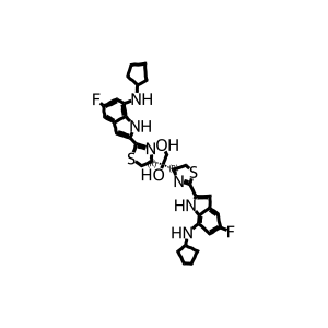 OCC(O)([C@@H]1CSC(c2cc3cc(F)cc(NC4CCCC4)c3[nH]2)=N1)[C@@H]1CSC(c2cc3cc(F)cc(NC4CCCC4)c3[nH]2)=N1